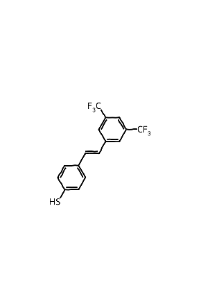 FC(F)(F)c1cc(/C=C/c2ccc(S)cc2)cc(C(F)(F)F)c1